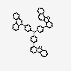 c1ccc2c(c1)cc(-c1ccc(N(c3ccc(-c4cccc5c4oc4ccccc45)cc3)c3ccc(-c4cccc5oc6c7ccccc7ccc6c45)cc3)cc1)c1ccccc12